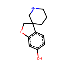 Oc1ccc2c(c1)OCC21CCCNC1